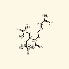 N=C(N)NOCC[C@@H](C(=O)O)N(CP(=O)(O)O)CP(=O)(O)O